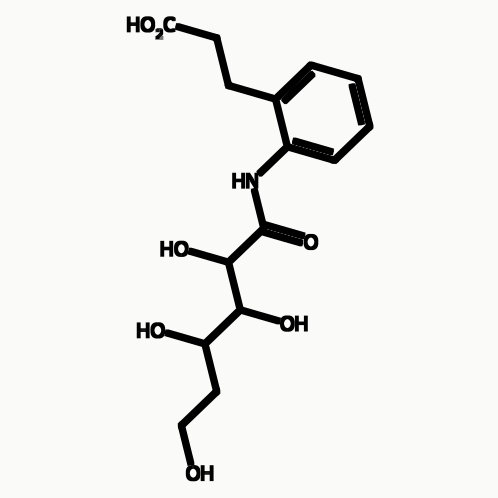 O=C(O)CCc1ccccc1NC(=O)C(O)C(O)C(O)CCO